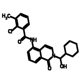 Cc1cccc(C(=O)Nc2cccc3c(=O)n(C(O)C4CCCCC4)ccc23)c1Cl